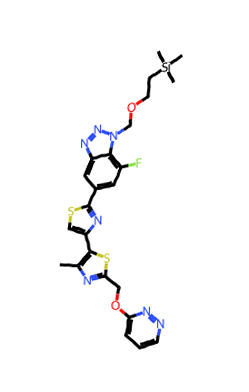 Cc1nc(COc2cccnn2)sc1-c1csc(-c2cc(F)c3c(c2)nnn3COCC[Si](C)(C)C)n1